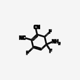 N#CC1=C(C#N)C(F)C(N)(F)C=C1F